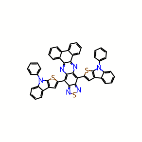 c1ccc(-n2c3ccccc3c3cc(-c4c5nsnc5c(-c5cc6c7ccccc7n(-c7ccccc7)c6s5)c5nc6c7ccccc7c7ccccc7c6nc45)sc32)cc1